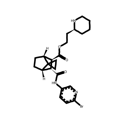 O=C(OCC[C@@H]1CCCCN1)[C@H]1[C@H](C(=O)Nc2ccc(Br)nc2)[C@@H]2CC[C@H]1C21CC1